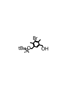 Cc1c(CO)cc(CO[Si](C)(C)C(C)(C)C)c(C)c1Br